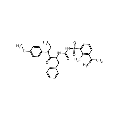 C=C(C)c1cccc(S(=O)(=O)NC(=O)N[C@@H](Cc2ccccc2)C(=O)N(CC)c2ccc(OC)cc2)c1C